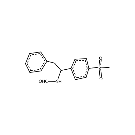 CS(=O)(=O)c1ccc(C(Cc2ccccc2)NC=O)cc1